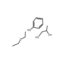 CC(O)CO.CCOCC.Oc1ccccc1